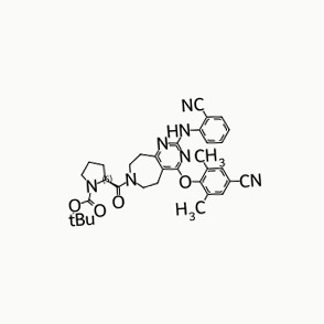 Cc1cc(C#N)cc(C)c1Oc1nc(Nc2ccccc2C#N)nc2c1CCN(C(=O)[C@@H]1CCCN1C(=O)OC(C)(C)C)CC2